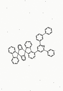 c1ccc(-c2cccc(-c3cc(-c4cccc5c4-c4ccccc4C54c5ccccc5C5(c6ccccc6-c6ccccc65)c5ccccc54)cc(-c4ccccc4)n3)c2)cc1